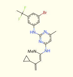 C=C(/C=C(\NC)Nc1cc(C)nc(Nc2cc(Br)cc(C(C)(F)F)c2)n1)C1CC1